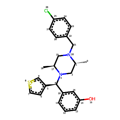 C[C@@H]1CN([C@H](c2ccsc2)c2cccc(O)c2)[C@@H](C)CN1Cc1ccc(Cl)cc1